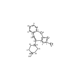 CCc1cc2c(s1)Oc1ccccc1N=C2N1CCN(C)CC1